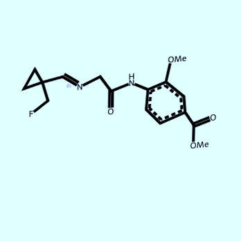 COC(=O)c1ccc(NC(=O)C/N=C/C2(CF)CC2)c(OC)c1